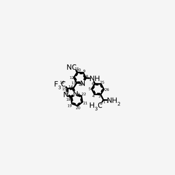 CC(N)c1ccc(Nc2cc(C#N)cc(-c3c(C(F)(F)F)nc4ccccn34)n2)cc1